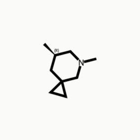 C[C@H]1CN(C)CC2(CC2)C1